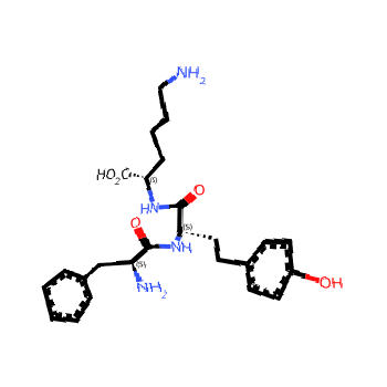 NCCCC[C@H](NC(=O)[C@H](CCc1ccc(O)cc1)NC(=O)[C@@H](N)Cc1ccccc1)C(=O)O